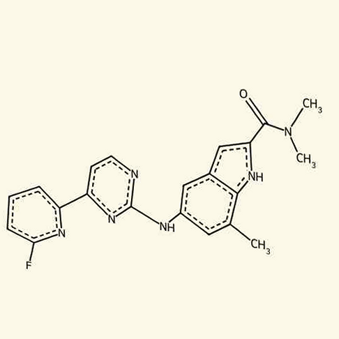 Cc1cc(Nc2nccc(-c3cccc(F)n3)n2)cc2cc(C(=O)N(C)C)[nH]c12